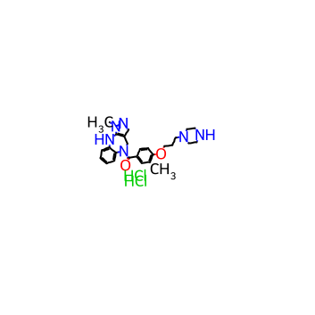 Cc1cc(C(=O)N2Cc3cnn(C)c3Nc3ccccc32)ccc1OCCCN1CCNCC1.Cl.Cl